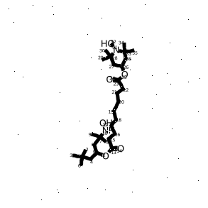 CC(C)(C)CC(CC(C)(C)NO)OC(=O)CCCCCCCCC(=O)OC1CC(C)(C)N(O)C(C)(C)C1